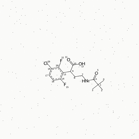 CC(C)(C)C(=O)NCCC(C(=O)O)c1c(F)ccc(Cl)c1F